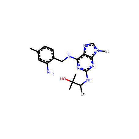 CCC(Nc1nc(NCc2ccc(C)cc2N)c2ncn(CC)c2n1)C(C)(C)O